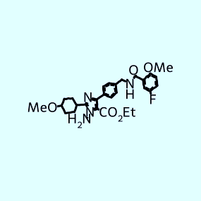 CCOC(=O)c1c(-c2ccc(CNC(=O)c3cc(F)ccc3OC)cc2)nc(C2CCC(OC)CC2)n1N